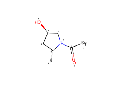 CC(C)C(=O)N1C[C@H](O)C[C@H]1C